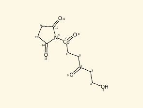 O=C(CCO)C[CH2][Co](=[O])[N]1C(=O)CCC1=O